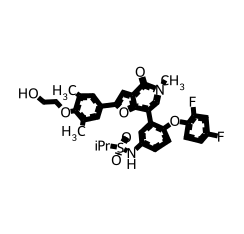 Cc1cc(-c2cc3c(=O)n(C)cc(-c4cc(NS(=O)(=O)C(C)C)ccc4Oc4ccc(F)cc4F)c3o2)cc(C)c1OCCO